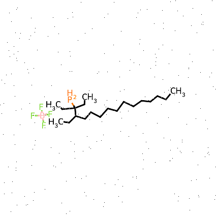 CCCCCCCCCCCCC(CC)C(P)(CC)CC.F[B-](F)(F)F